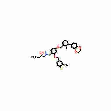 Cc1c(COc2ccc(CNC[C@@H](O)CC(=O)O)c(OCc3ccc(F)c(C#N)c3)c2)cccc1-c1ccc2c(c1)OCCO2